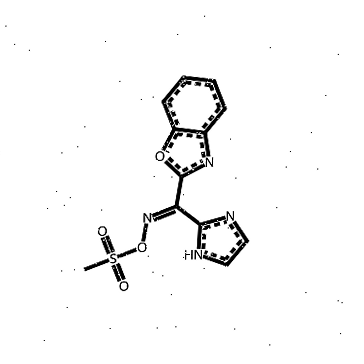 CS(=O)(=O)O/N=C(\c1ncc[nH]1)c1nc2ccccc2o1